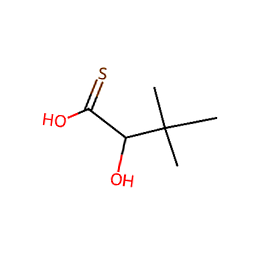 CC(C)(C)C(O)C(O)=S